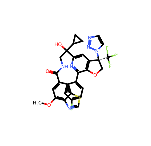 COc1cc(C(=O)NCC(O)(c2cc3c(c(-c4ccc(F)cc4)n2)OC[C@@]3(n2ccnn2)C(F)(F)F)C2CC2)cc2scnc12